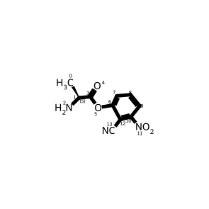 C[C@H](N)C(=O)Oc1cccc([N+](=O)[O-])c1C#N